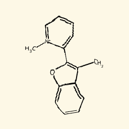 Cc1c(-c2cccc[n+]2C)oc2ccccc12